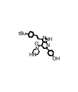 CC(C)(C)c1ccc(C=Cc2n[nH]c3nc(-c4ccc(O)cc4)cc(C(=O)N4CCNCC4)c23)cc1